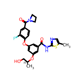 Cc1cnc(NC(=O)c2cc(Oc3ccc(C(=O)N4CCC4)cc3F)cc(O[C@@H](C)CO)c2)s1